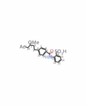 COC(CCc1ccc(C(=O)Nc2ccccc2S(=O)(=O)O)cc1)CC(C)=O